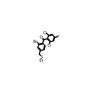 CCSCc1ccc(C(=O)c2c(Cl)cc(F)cc2Cl)c(Br)c1